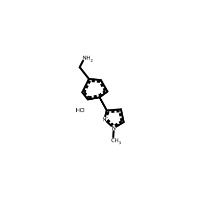 Cl.Cn1ccc(-c2ccc(CN)cc2)n1